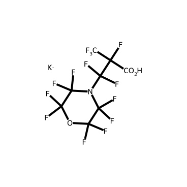 O=C(O)C(F)(C(F)(F)F)C(F)(F)N1C(F)(F)C(F)(F)OC(F)(F)C1(F)F.[K]